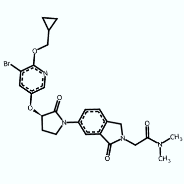 CN(C)C(=O)CN1Cc2ccc(N3CC[C@@H](Oc4cnc(OCC5CC5)c(Br)c4)C3=O)cc2C1=O